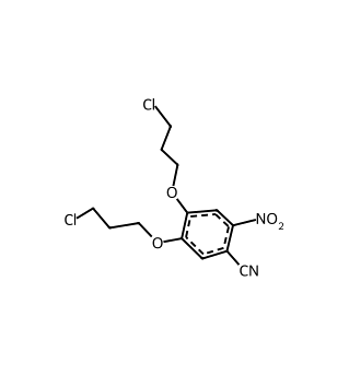 N#Cc1cc(OCCCCl)c(OCCCCl)cc1[N+](=O)[O-]